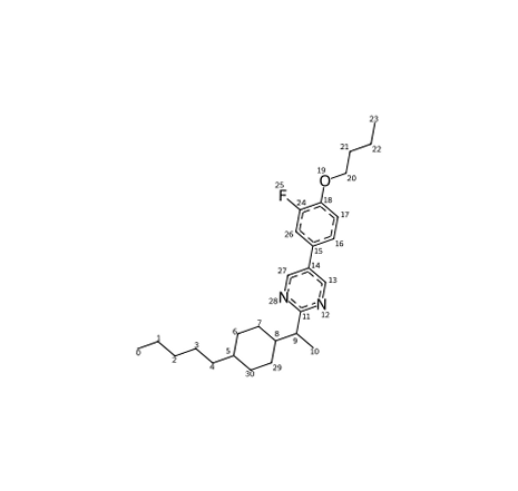 CCCCCC1CCC(C(C)c2ncc(-c3ccc(OCCCC)c(F)c3)cn2)CC1